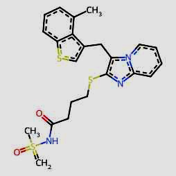 C=S(C)(=O)NC(=O)CCCSc1nc2ccccn2c1Cc1csc2cccc(C)c12